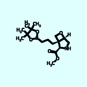 COC(=O)[C@@H]1NC[C@@H]2OC[C@]21CCCB1OC(C)(C)C(C)(C)O1